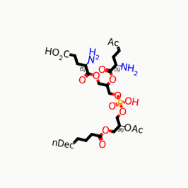 CCCCCCCCCCCCCC(=O)OC[C@H](COP(=O)(O)OCC(COC(=O)[C@@H](N)CCC(=O)O)OC(=O)[C@@H](N)CCC(C)=O)OC(C)=O